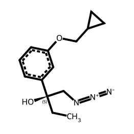 CC[C@@](O)(CN=[N+]=[N-])c1cccc(OCC2CC2)c1